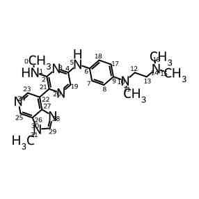 CNc1nc(Nc2ccc(N(C)CCN(C)C)cc2)cnc1-c1cncc2c1ncn2C